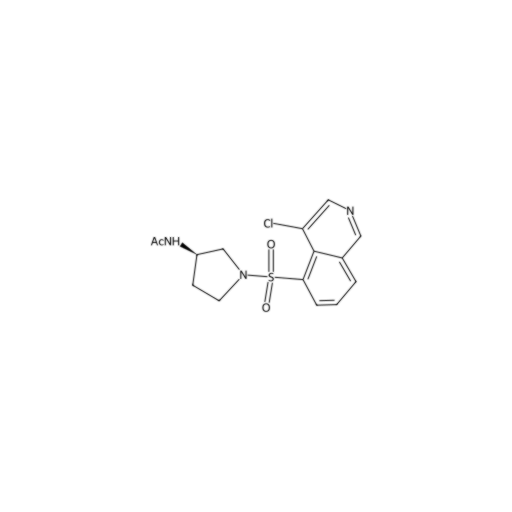 CC(=O)N[C@@H]1CCN(S(=O)(=O)c2cccc3cncc(Cl)c23)C1